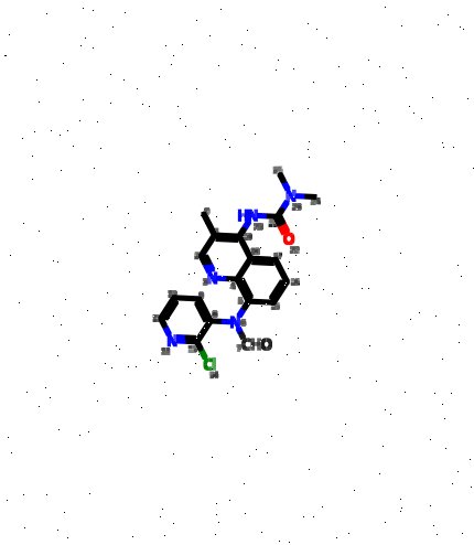 Cc1cnc2c(N(C=O)c3cccnc3Cl)cccc2c1NC(=O)N(C)C